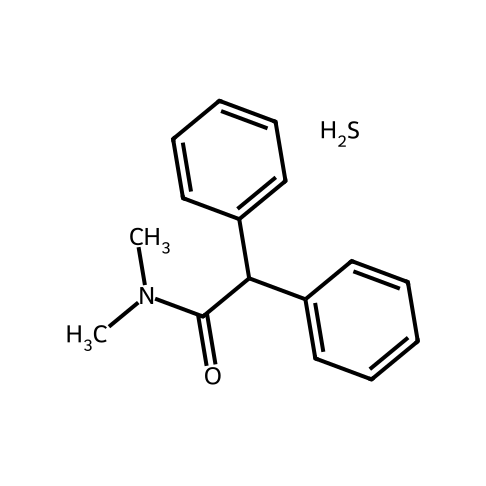 CN(C)C(=O)C(c1ccccc1)c1ccccc1.S